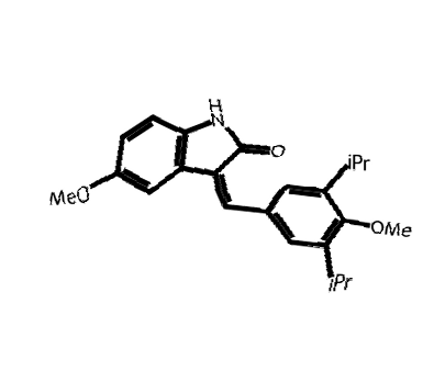 COc1ccc2c(c1)C(=Cc1cc(C(C)C)c(OC)c(C(C)C)c1)C(=O)N2